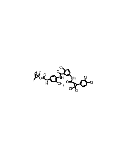 Cc1cc(NC(=O)OC2(C)C=C2I)ccc1NC(=O)c1cc(NC(=O)C2C(c3ccc(Cl)c(Cl)c3)C2(Cl)Cl)ccc1Cl